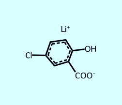 O=C([O-])c1cc(Cl)ccc1O.[Li+]